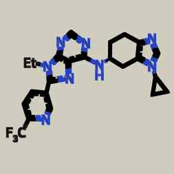 CCn1c(-c2ccc(C(F)(F)F)nc2)nc2c(N[C@@H]3CCc4ncn(C5CC5)c4C3)ncnc21